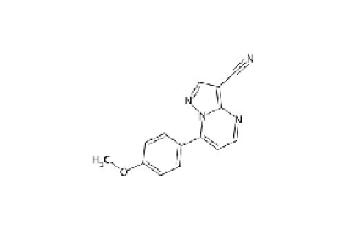 COc1ccc(-c2ccnc3c(C#N)cnn23)cc1